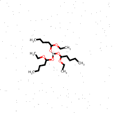 CCCCC(OCC)[O][Y]([O]C(CCCC)OCC)[O]C(CCCC)OCC